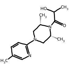 Cc1ccc(N2C[C@@H](C)N(C(=O)C(C)O)[C@@H](C)C2)nc1